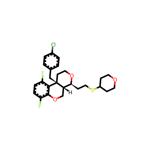 Fc1ccc(F)c2c1OC[C@H]1[C@H](CCSC3CCOCC3)OCC[C@@]21Cc1ccc(Cl)cc1